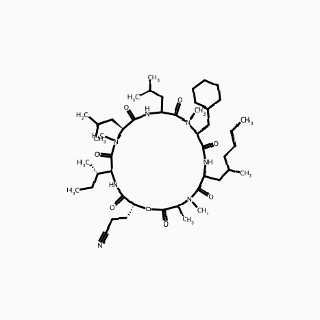 CCCCC(C)CC1NC(=O)C(CC2CCCCC2)N(C)C(=O)C(CC(C)C)NC(=O)[C@H](CC(C)C)N(C)C(=O)C([C@@H](C)CC)NC(=O)[C@@H](CCC#N)OC(=O)C(C)N(C)C1=O